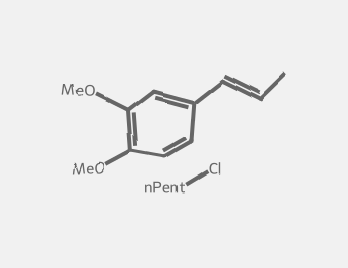 CC=Cc1ccc(OC)c(OC)c1.CCCCCCl